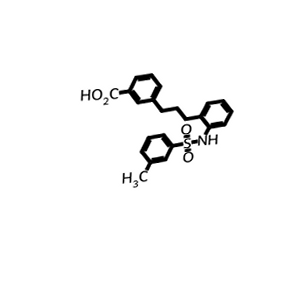 Cc1cccc(S(=O)(=O)Nc2ccccc2CCCc2cccc(C(=O)O)c2)c1